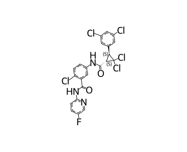 O=C(Nc1ccc(F)cn1)c1cc(NC(=O)[C@@H]2[C@@H](c3cc(Cl)cc(Cl)c3)C2(Cl)Cl)ccc1Cl